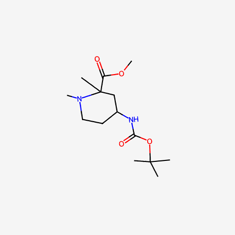 COC(=O)C1(C)CC(NC(=O)OC(C)(C)C)CCN1C